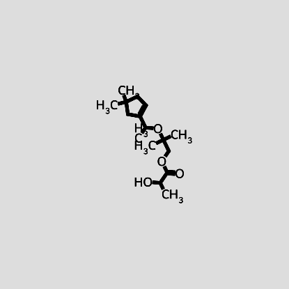 CC(O)C(=O)OCC(C)(C)OC(C)C1=CCC(C)(C)C1